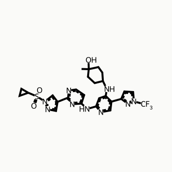 CC1(O)CCC(Nc2cc(Nc3ccnc(-c4cnn(S(=O)(=O)C5CC5)c4)n3)ncc2-c2ccn(C(F)(F)F)n2)CC1